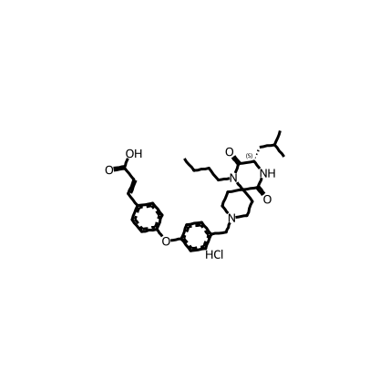 CCCCN1C(=O)[C@H](CC(C)C)NC(=O)C12CCN(Cc1ccc(Oc3ccc(C=CC(=O)O)cc3)cc1)CC2.Cl